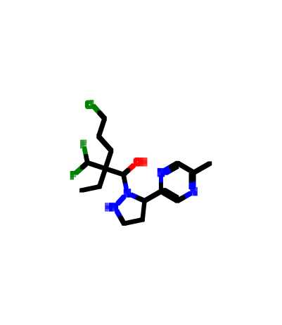 CCC(CCCCl)(C(F)F)C(O)N1NCCC1c1cnc(C)cn1